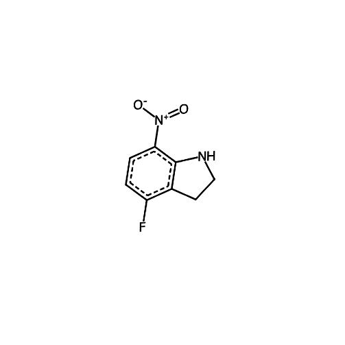 O=[N+]([O-])c1ccc(F)c2c1NCC2